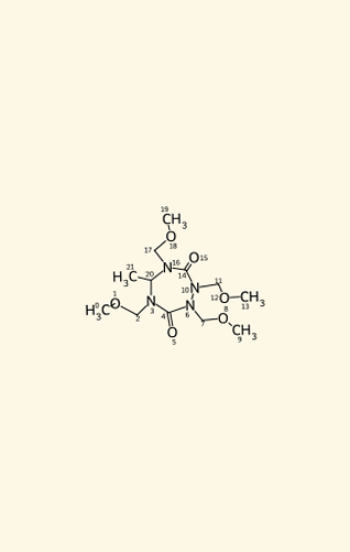 COCN1C(=O)N(COC)N(COC)C(=O)N(COC)C1C